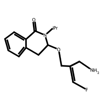 CC(C)N1C(=O)c2ccccc2CC1OCC(=CF)CN